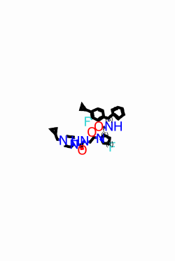 O=C(N[C@@H](c1ccccc1)c1ccc(C2CC2)c(F)c1)[C@@H]1C[C@@H](F)CN1C(=O)CNC(=O)N1CCN(CC2CC2)CC1